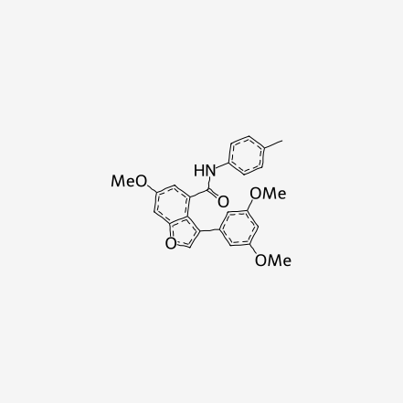 COc1cc(OC)cc(-c2coc3cc(OC)cc(C(=O)Nc4ccc(C)cc4)c23)c1